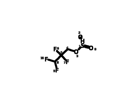 O=[SH](=O)OCC(F)(F)C(F)F